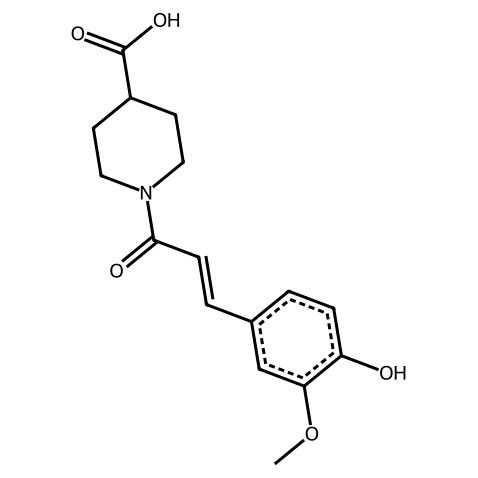 COc1cc(C=CC(=O)N2CCC(C(=O)O)CC2)ccc1O